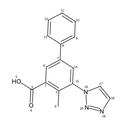 Cc1c(C(=O)O)cc(-c2ccccc2)cc1-n1ccnn1